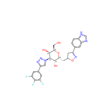 OC[C@H]1O[C@H](CC2CC(c3ccc4[nH]cnc4c3)=NO2)[C@H](O)[C@@H](n2cc(-c3cc(F)c(F)c(F)c3)nn2)[C@H]1O